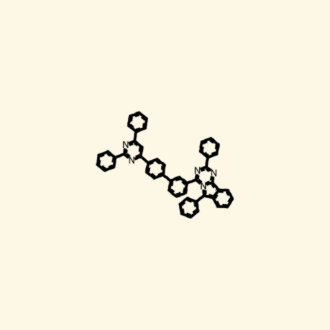 c1ccc(-c2cc(-c3ccc(-c4cccc(-c5nc(-c6ccccc6)nc6c7ccccc7c(-c7ccccc7)n56)c4)cc3)nc(-c3ccccc3)n2)cc1